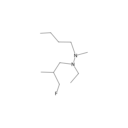 CCCCN(C)N(CC)CC(C)CF